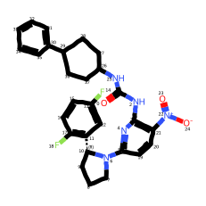 O=C(Nc1nc(N2CCC[C@@H]2c2cc(F)ccc2F)ccc1[N+](=O)[O-])NC1CCC(c2ccccc2)CC1